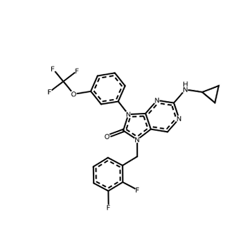 O=c1n(Cc2cccc(F)c2F)c2cnc(NC3CC3)nc2n1-c1cccc(OC(F)(F)F)c1